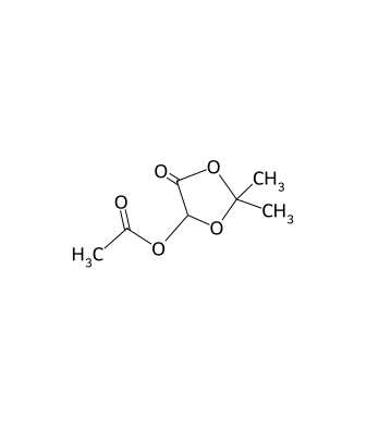 CC(=O)OC1OC(C)(C)OC1=O